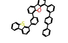 c1ccc(-c2ccc(-c3cccc(-c4cccc5c4oc4c(-c6cccc(-c7cccc8c7sc7ccccc78)c6)cccc45)c3)cc2)cc1